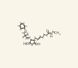 CCNC(=O)CCC/C=C/C[C@@H]1[C@@H](/C=C/C(F)(F)COc2ccccc2)[C@H](O)C[C@@H]1O